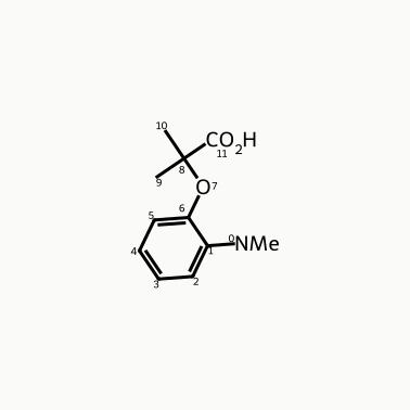 CNc1ccccc1OC(C)(C)C(=O)O